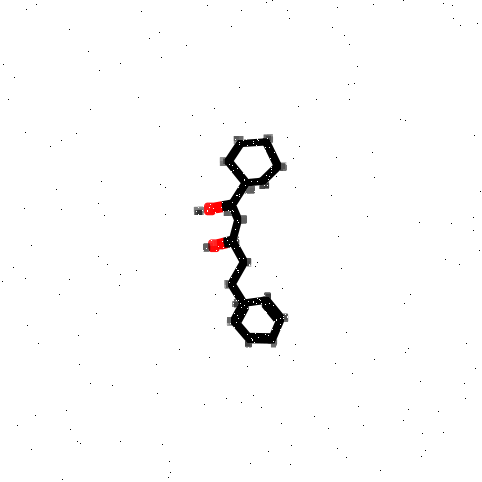 O=C(CCc1ccccc1)CC(=O)C1CCCCC1